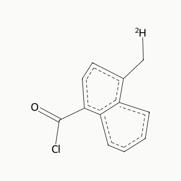 [2H]Cc1ccc(C(=O)Cl)c2ccccc12